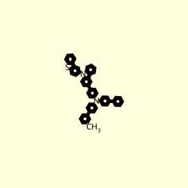 Cc1cccc(-c2ccc(N(c3ccc(-c4ccccc4)cc3)c3ccc(-c4ccc5c(c4)c4ccccc4n5-c4ccc5sc6ccccc6c5c4)cc3)cc2)c1